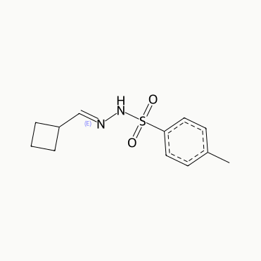 Cc1ccc(S(=O)(=O)N/N=C/C2CCC2)cc1